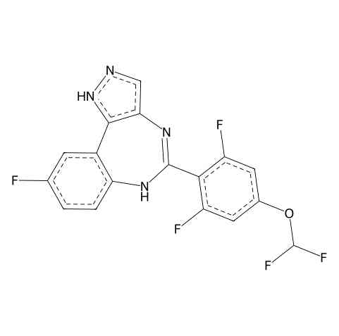 Fc1ccc2c(c1)-c1[nH]ncc1N=C(c1c(F)cc(OC(F)F)cc1F)N2